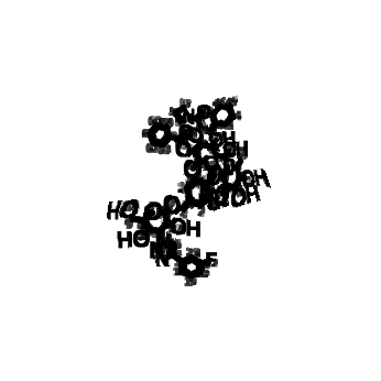 CCC1CC(CO[C@H]2OC(CO)[C@@H](O)C(n3cc(-c4cccc(F)c4)nn3)C2O)C[C@@H](O[C@@H]2OC(CO)[C@H](O)C(O[C@@H](CC3CCCCC3)C(=O)N3CCC3)C2OC(=O)c2ccccc2)C1O[C@@H]1OC(C)[C@@H](O)C(O)C1O